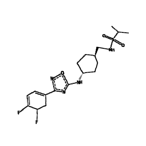 CC(C)S(=O)(=O)NC[C@H]1CC[C@H](Nc2nc(C3=CC=C(F)C(F)C3)no2)CC1